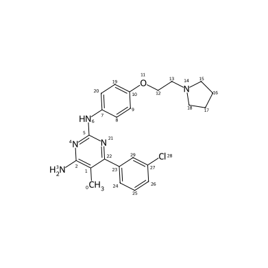 Cc1c(N)nc(Nc2ccc(OCCN3CCCC3)cc2)nc1-c1cccc(Cl)c1